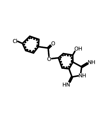 N=C1NC(=N)c2c(O)cc(OC(=O)c3ccc(Cl)cc3)cc21